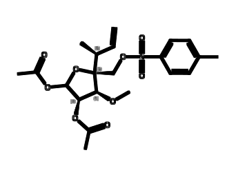 C=C[C@H](C)[C@@]1(COS(=O)(=O)c2ccc(C)cc2)OC(OC(C)=O)[C@H](OC(C)=O)[C@@H]1OC